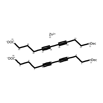 CCCCCCCCCCCCC#CC#CCCCC(=O)[O-].CCCCCCCCCCCCC#CC#CCCCC(=O)[O-].[Zn+2]